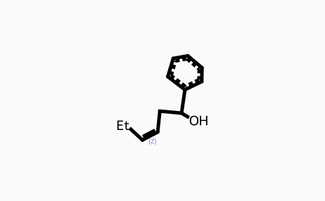 CC/C=C\CC(O)c1ccccc1